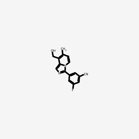 Cc1ccn2c(-c3cc(F)cc(C#N)c3)ncc2c1CO